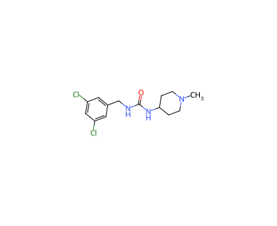 CN1CCC(NC(=O)NCc2cc(Cl)cc(Cl)c2)CC1